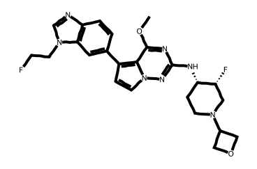 COc1nc(N[C@H]2CCN(C3COC3)C[C@H]2F)nn2ccc(-c3ccc4ncn(CCF)c4c3)c12